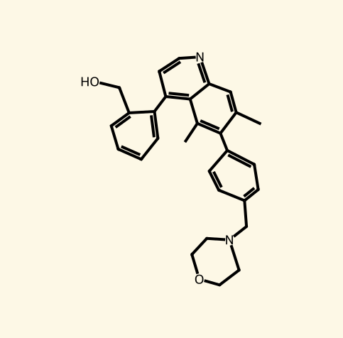 Cc1cc2nccc(-c3ccccc3CO)c2c(C)c1-c1ccc(CN2CCOCC2)cc1